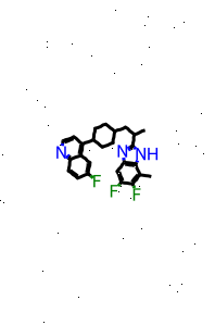 Cc1c(F)c(F)cc2nc(C(C)CC3CCC(c4ccnc5ccc(F)cc45)CC3)[nH]c12